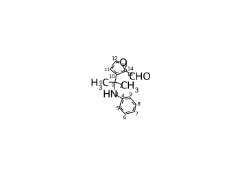 CC(C)(Nc1ccccc1)c1ccoc1C=O